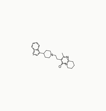 Cc1nc2n(c(=O)c1CCN1CCC(c3csc4ccccc34)CC1)CCCC2